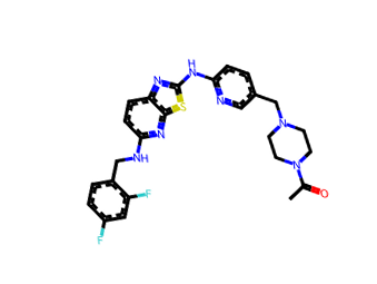 CC(=O)N1CCN(Cc2ccc(Nc3nc4ccc(NCc5ccc(F)cc5F)nc4s3)nc2)CC1